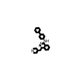 c1ccc(-c2ccc(Nc3nnc(Cc4ccncc4)c4ccccc34)cc2)cc1